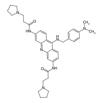 CN(C)c1ccc(CNc2c3ccc(NC(=O)CCN4CCCC4)cc3nc3cc(NC(=O)CCN4CCCC4)ccc23)cc1